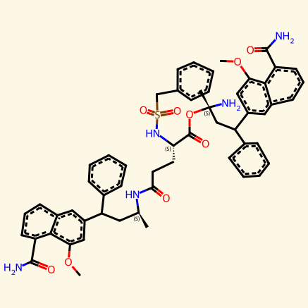 COc1cc(C(C[C@H](C)NC(=O)CC[C@H](NS(=O)(=O)Cc2ccccc2)C(=O)O[C@](C)(N)CC(c2ccccc2)c2cc(OC)c3c(C(N)=O)cccc3c2)c2ccccc2)cc2cccc(C(N)=O)c12